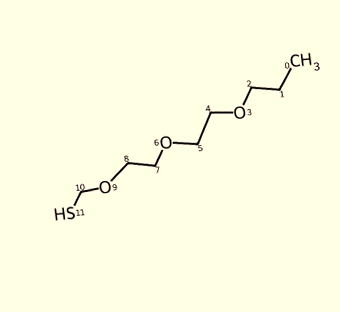 CCCOCCOCCOCS